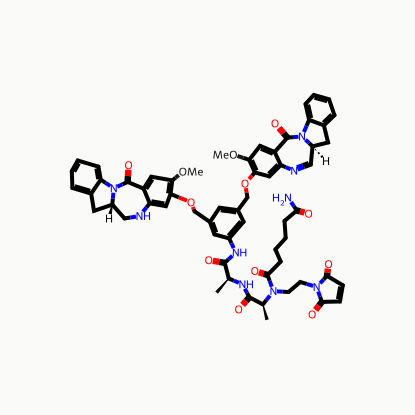 COc1cc2c(cc1OCc1cc(COc3cc4c(cc3OC)C(=O)N3c5ccccc5C[C@H]3CN4)cc(NC(=O)[C@H](C)NC(=O)[C@H](C)N(CCN3C(=O)C=CC3=O)C(=O)CCCCC(N)=O)c1)N=C[C@@H]1Cc3ccccc3N1C2=O